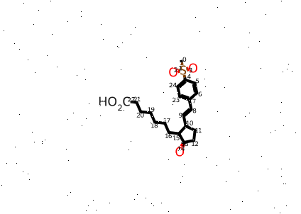 CS(=O)(=O)c1ccc(/C=C/C2CCC(=O)C2CCCCCCC(=O)O)cc1